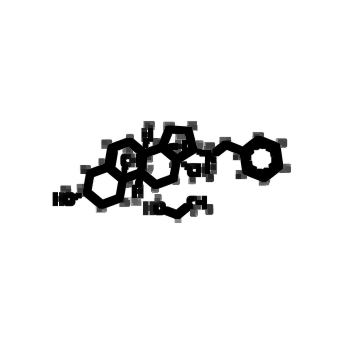 CCO.C[C@]12CC[C@H]3[C@@H](CC=C4C[C@@H](O)CC[C@@]43C)[C@@H]1CC[C@@H]2NCc1ccccc1